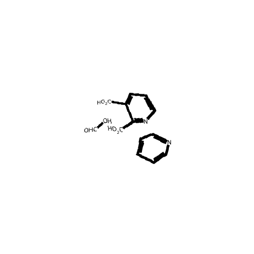 O=C(O)c1cccnc1C(=O)O.O=CO.c1ccncc1